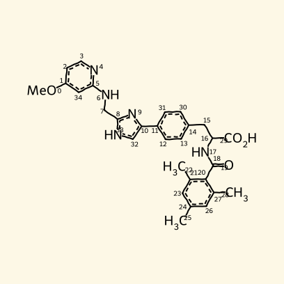 COc1ccnc(NCc2nc(-c3ccc(CC(NC(=O)c4c(C)cc(C)cc4C)C(=O)O)cc3)c[nH]2)c1